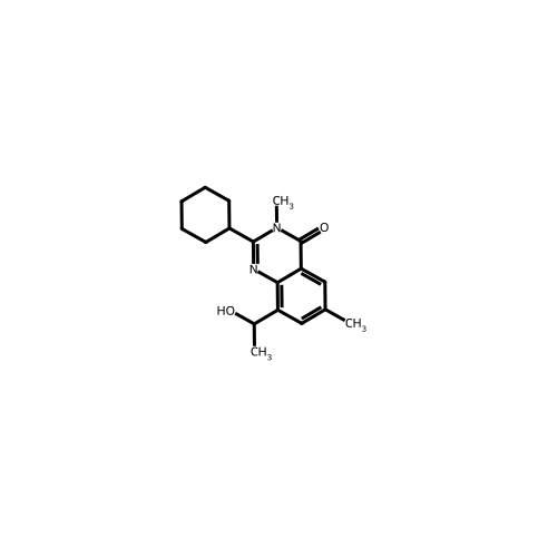 Cc1cc(C(C)O)c2nc(C3CCCCC3)n(C)c(=O)c2c1